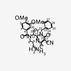 COc1ccc(C(=O)N(CCCN)C(c2nc(C)c(C#N)c(=O)n2Cc2ccccc2)C(C)C)cc1OC